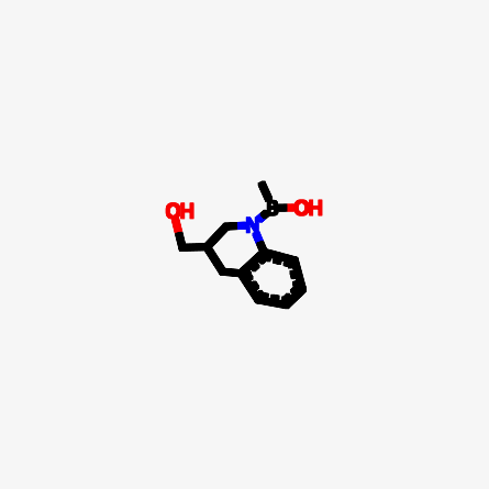 CB(O)N1CC(CO)Cc2ccccc21